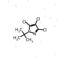 CC(C)(C)n1nc(Cl)c(Cl)c1Cl